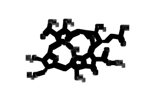 CC[C@H]1/C2=C/c3c(C)c4c5n3Nn3/c(c(C)c(C(C)=O)/c3=C/C(=N2)[C@@H]1C)=C\C1=NC(=C\5C(C(=O)OC)C4=O)/[C@@H](CCC(=O)O)[C@@H]1C